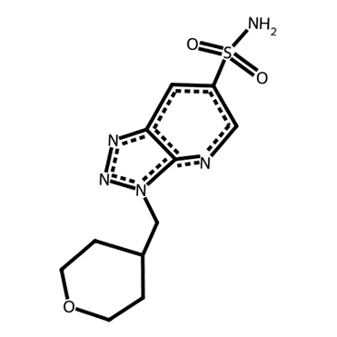 NS(=O)(=O)c1cnc2c(c1)nnn2CC1CCOCC1